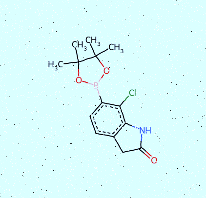 CC1(C)OB(c2ccc3c(c2Cl)NC(=O)C3)OC1(C)C